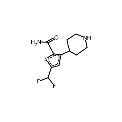 NC(=O)c1sc(C(F)F)cc1C1CCNCC1